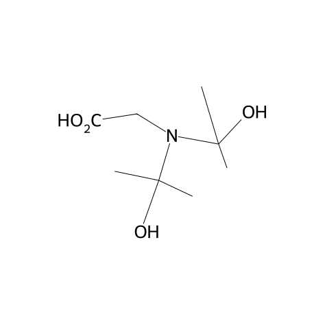 CC(C)(O)N(CC(=O)O)C(C)(C)O